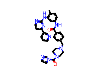 Cc1ccc(NC(=O)c2ccc(CN3CCN(C(=O)n4ccnc4)CC3)cc2)cc1Nc1nccc(-c2cccnc2)n1